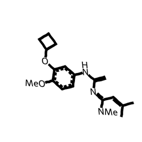 C=C(/N=C(\C=C(C)C)NC)Nc1ccc(OC)c(OC2CCC2)c1